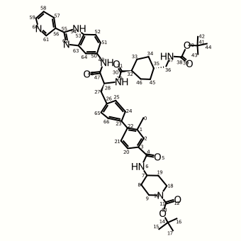 Cc1cc(C(=O)NC2CCN(C(=O)OC(C)(C)C)CC2)ccc1-c1ccc(C[C@H](NC(=O)[C@H]2CC[C@H](CNC(=O)OC(C)(C)C)CC2)C(=O)Nc2ccc3[nH]c(-c4cccnc4)nc3c2)cc1